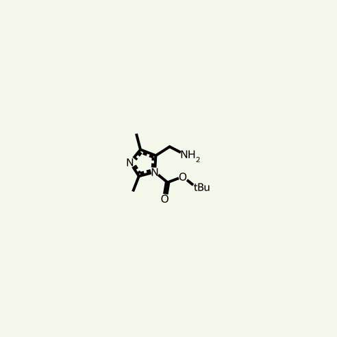 Cc1nc(C)n(C(=O)OC(C)(C)C)c1CN